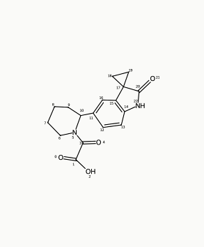 O=C(O)C(=O)N1CCCCC1c1ccc2c(c1)C1(CC1)C(=O)N2